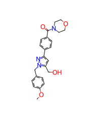 COc1ccc(Cn2nc(-c3ccc(C(=O)N4CCOCC4)cc3)cc2CO)cc1